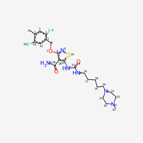 Cc1cc(F)c(COc2nsc(NC(=O)NCCCCCN3CCN(C)CC3)c2C(N)=O)cc1F